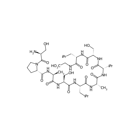 CC(C)C[C@H](NC(=O)[C@H](CO)NC(=O)[C@@H](NC(=O)[C@H](C)NC(=O)[C@H](CC(C)C)NC(=O)[C@H](CO)NC(=O)[C@H](C)NC(=O)[C@@H]1CCCN1C(=O)[C@@H](N)CO)C(C)C)C(=O)NCC(=O)O